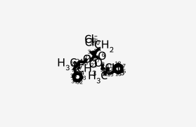 C=CC1CC1(C(=O)OCC[N+](C)(C)Cc1ccccc1)C(=O)OCC[N+](C)(C)Cc1ccccc1.[Cl-].[Cl-]